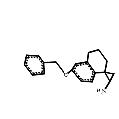 NC1CC12CCCc1cc(OCc3ccccc3)ccc12